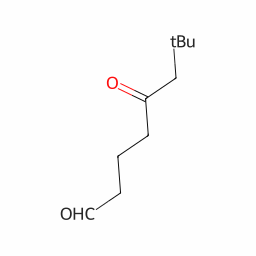 CC(C)(C)CC(=O)CCCC=O